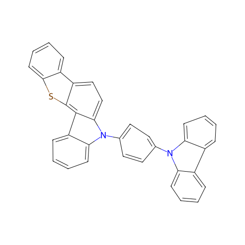 c1ccc2c(c1)sc1c2ccc2c1c1ccccc1n2-c1ccc(-n2c3ccccc3c3ccccc32)cc1